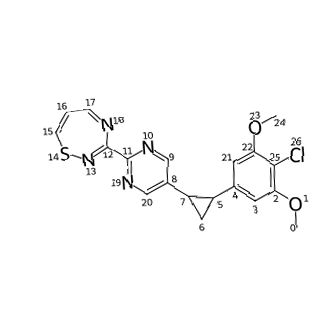 COc1cc(C2CC2c2cnc(C3=NSC=CC=N3)nc2)cc(OC)c1Cl